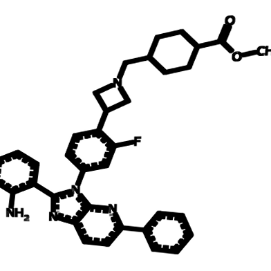 COC(=O)C1CCC(CN2CC(c3ccc(-n4c(-c5cccnc5N)nc5ccc(-c6ccccc6)nc54)cc3F)C2)CC1